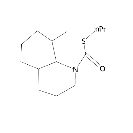 CCCSC(=O)N1CCCC2CCCC(C)C21